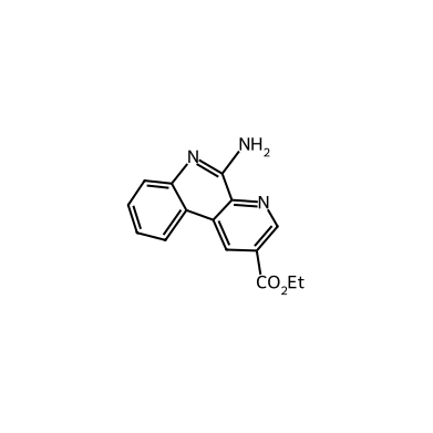 CCOC(=O)c1cnc2c(N)nc3ccccc3c2c1